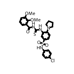 COc1cccc(C(=O)NC(=S)Nc2cc(S(=O)(=O)Nc3ccc(Cl)cc3)ccc2N2CCCC2)c1OC